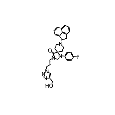 O=C1N(CCCn2cc(CO)nn2)CN(c2ccc(F)cc2)C12CCN([C@H]1Cc3cccc4cccc1c34)CC2